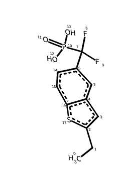 CCc1cc2cc(C(F)(F)P(=O)(O)O)ccc2s1